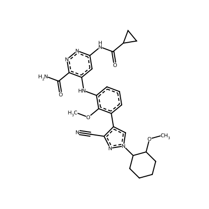 COc1c(Nc2cc(NC(=O)C3CC3)nnc2C(N)=O)cccc1-c1cn(C2CCCCC2OC)nc1C#N